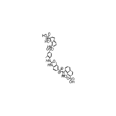 Cc1cc(S(=O)(=O)Nc2cccc3ccc(S(=O)(=O)O)c(O)c23)ccc1NC(=O)Nc1ccc(S(=O)(=O)Nc2cccc3ccc(S(=O)(=O)O)c(O)c23)cc1C